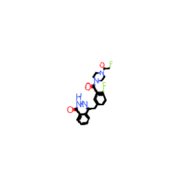 O=C(CF)N1CCN(C(=O)c2cc(Cc3n[nH]c(=O)c4ccccc34)ccc2F)CC1